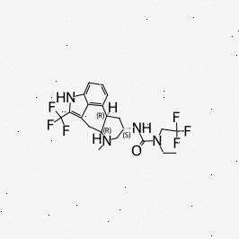 CCN(CC(F)(F)F)C(=O)N[C@H]1C[C@@H]2c3cccc4[nH]c(C(F)(F)F)c(c34)C[C@H]2N(C)C1